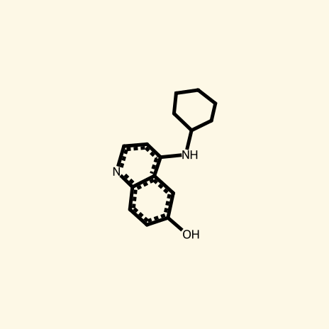 Oc1ccc2nccc(NC3CCCCC3)c2c1